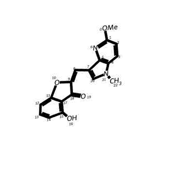 COc1ccc2c(n1)c(C=C1Oc3cccc(O)c3C1=O)cn2C